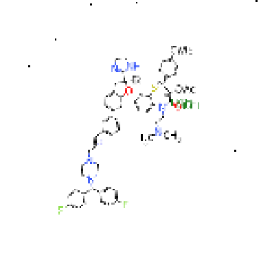 CCC1(C2=NCCN2)Cc2ccccc2O1.COc1ccc([C@@H]2Sc3ccccc3N(CCN(C)C)C(=O)[C@@H]2OC(C)=O)cc1.Cl.Cl.Cl.Fc1ccc(C(c2ccc(F)cc2)N2CCN(C/C=C/c3ccccc3)CC2)cc1